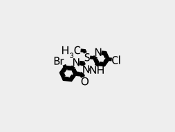 CCSc1ncc(Cl)cc1Nn1cnc2c(Br)cccc2c1=O